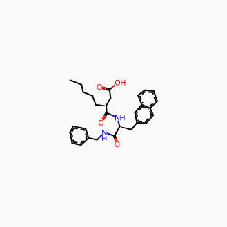 CCCCC[C@@H](CC(=O)O)C(=O)N[C@@H](Cc1ccc2ccccc2c1)C(=O)NCc1ccccc1